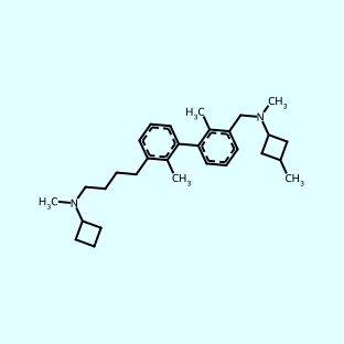 Cc1c(CCCCN(C)C2CCC2)cccc1-c1cccc(CN(C)C2CC(C)C2)c1C